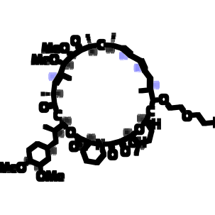 CO[C@@H]1/C(C)=C/[C@@H](C)C(=O)C[C@@H]([C@H](C)C[C@@H]2CC[C@@H](OC)[C@H](OC)C2)OC(=O)[C@@H]2CCCCN2C(=O)C(=O)[C@]2(O)O[C@@H](CC[C@H]2C)CC(OCCOCCI)/C(C)=C/C=C/C=C/[C@@H](C)C[C@@H](C)C(=O)[C@@H]1OC